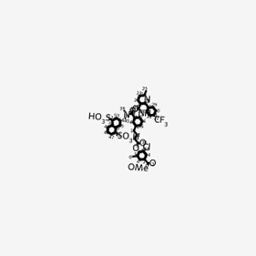 COC(=O)c1cc(C)c(OC(=O)CCCc2ccc(NC(=O)c3ccc(C)nc3-c3ccc(C(F)(F)F)cc3)c(C(=O)N(C)C)c2)c(Cl)c1.O=S(=O)(O)c1cccc2c(S(=O)(=O)O)cccc12